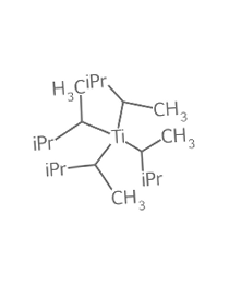 CC(C)[CH](C)[Ti]([CH](C)C(C)C)([CH](C)C(C)C)[CH](C)C(C)C